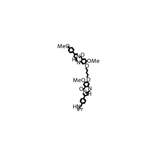 COc1ccc(C2=CN3C(=O)c4cc(OC)c(OCCCCCOc5cc6c(cc5OC)C(=O)N5C=C(c7ccc(CNC(C)C)cc7)C[C@H]5C=N6)cc4N=C[C@@H]3C2)cc1